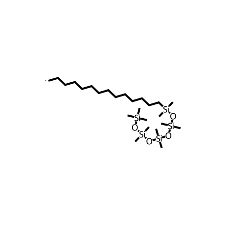 [CH2]CCCCCCCCCCCCC[Si](C)(C)O[Si](C)(C)O[Si](C)(C)O[Si](C)(C)O[Si](C)(C)C